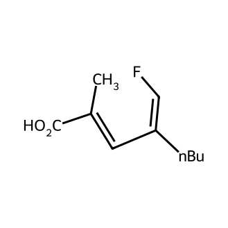 CCCCC(=CF)C=C(C)C(=O)O